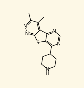 Cc1nnc2sc3c(C4CCNCC4)ncnc3c2c1C